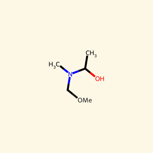 COCN(C)C(C)O